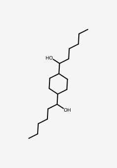 CCCCCC(O)C1CCC(C(O)CCCCC)CC1